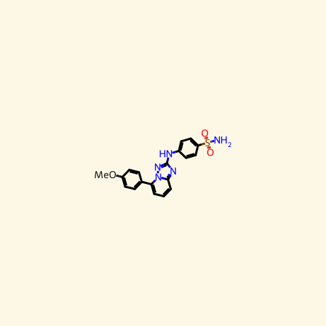 COc1ccc(-c2cccc3nc(Nc4ccc(S(N)(=O)=O)cc4)nn23)cc1